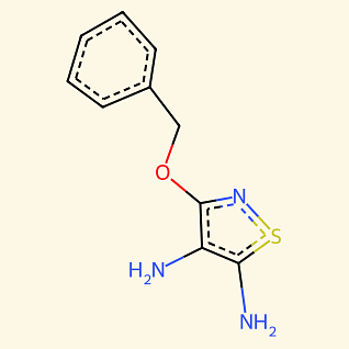 Nc1snc(OCc2ccccc2)c1N